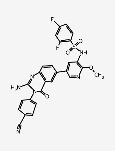 COc1ncc(-c2ccc3nc(N)n(-c4ccc(C#N)cc4)c(=O)c3c2)cc1NS(=O)(=O)c1ccc(F)cc1F